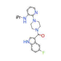 CC(C)Nc1cccnc1N1CCN(C(=O)c2c[nH]c3ccc(F)cc23)CC1